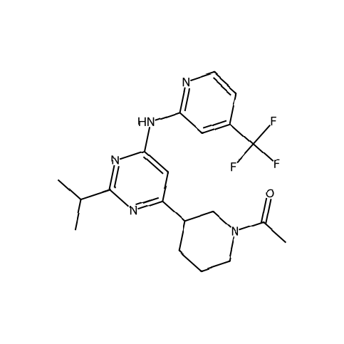 CC(=O)N1CCCC(c2cc(Nc3cc(C(F)(F)F)ccn3)nc(C(C)C)n2)C1